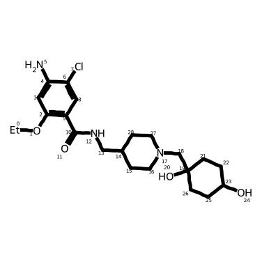 CCOc1cc(N)c(Cl)cc1C(=O)NCC1CCN(CC2(O)CCC(O)CC2)CC1